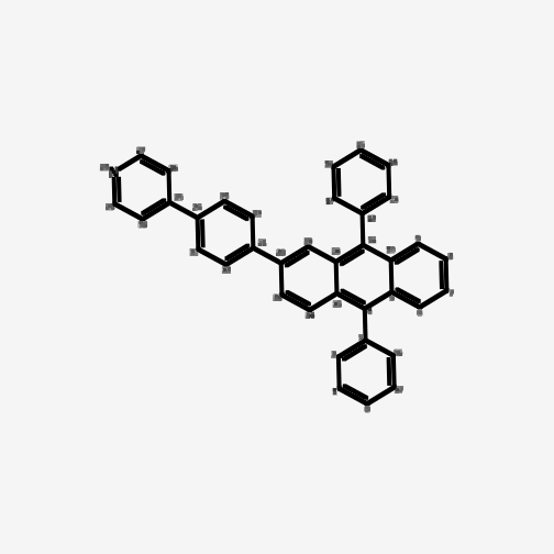 c1ccc(-c2c3ccccc3c(-c3ccccc3)c3cc(-c4ccc(-c5ccncc5)cc4)ccc23)cc1